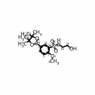 COc1ccc(B2OC(C)(C)C(C)(C)O2)cc1S(=O)(=O)NCCO